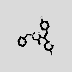 C=C(CN(C)Cc1ccccc1)C(=O)/C(=C\c1ccc(Cl)cc1)c1ccc(F)cc1